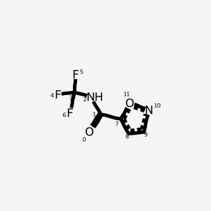 O=C(NC(F)(F)F)c1ccno1